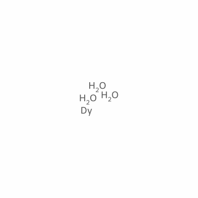 O.O.O.[Dy]